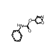 O=C(Nc1ccccc1)Oc1cnoc1